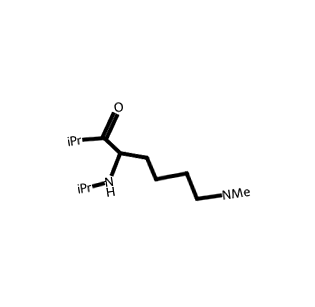 CNCCCCC(NC(C)C)C(=O)C(C)C